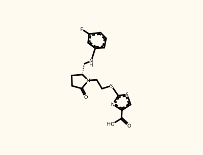 O=C(O)c1csc(SCCN2C(=O)CC[C@@H]2CNc2cccc(F)c2)n1